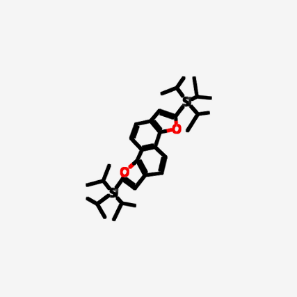 CC(C)[Si](c1cc2ccc3c(ccc4cc([Si](C(C)C)(C(C)C)C(C)C)oc43)c2o1)(C(C)C)C(C)C